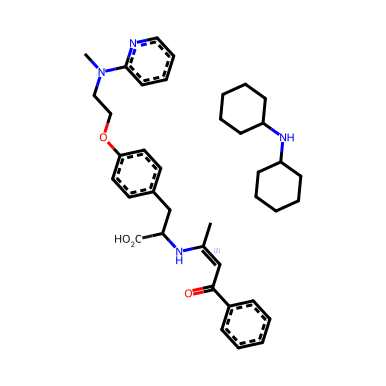 C/C(=C/C(=O)c1ccccc1)NC(Cc1ccc(OCCN(C)c2ccccn2)cc1)C(=O)O.C1CCC(NC2CCCCC2)CC1